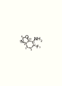 Nc1c(F)ccc2ncoc12